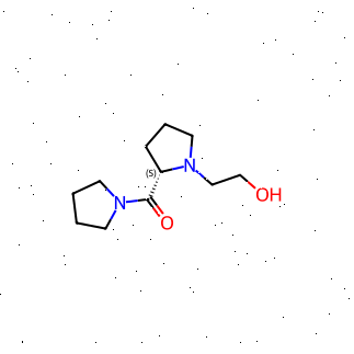 O=C([C@@H]1CCCN1CCO)N1CCCC1